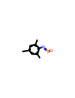 Cc1cc(C)c(N=S=O)c(C)c1